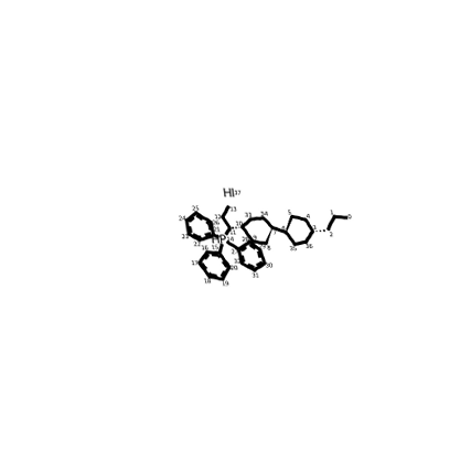 CCC[C@H]1CC[C@H]([C@H]2CC[C@H](C(CC)[PH](c3ccccc3)(c3ccccc3)c3ccccc3)CC2)CC1.I